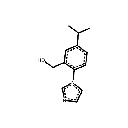 CC(C)c1ccc(-n2ccnc2)c(CO)c1